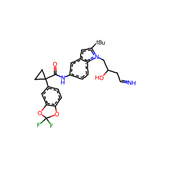 CC(C)(C)c1cc2cc(NC(=O)C3(c4ccc5c(c4)OC(F)(F)O5)CC3)ccc2n1CC(O)CC=N